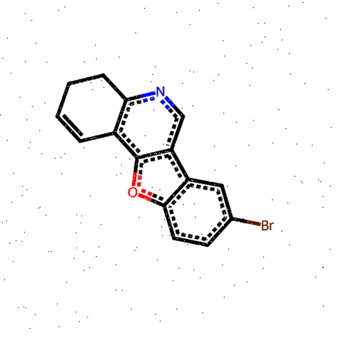 Brc1ccc2oc3c4c(ncc3c2c1)CCC=C4